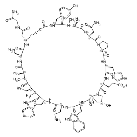 CCCC[C@H]1C(=O)N[C@@H](CN)C(=O)N[C@H](CC(=O)NCC(N)=O)CSCC(=O)N[C@@H](Cc2ccc(O)cc2)C(=O)N(C)[C@@H](C)C(=O)N[C@@H](CC(N)=O)C(=O)N2CCC[C@H]2C(=O)N[C@@H](Cc2c[nH]cn2)C(=O)N[C@@H](CCC(=O)O)C(=O)N2C[C@H](O)C[C@H]2C(=O)N[C@@H](Cc2c[nH]c3ccccc23)C(=O)N[C@@H](CCN)C(=O)N[C@@H](Cc2c[nH]c3ccccc23)C(=O)N(C)[C@@H](CC(C)C)C(=O)N1C